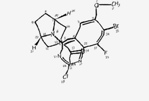 COc1cc2c(N3[C@@H]4CC[C@H]3CN(C(=O)O)C4)nc(Cl)nc2c(F)c1Br